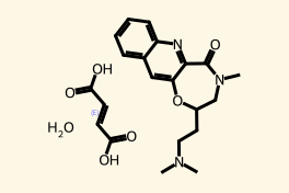 CN(C)CCC1CN(C)C(=O)c2nc3ccccc3cc2O1.O.O=C(O)/C=C/C(=O)O